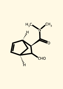 CN(C)C(=O)[C@H]1C(C=O)[C@H]2C=C[C@@H]1C2